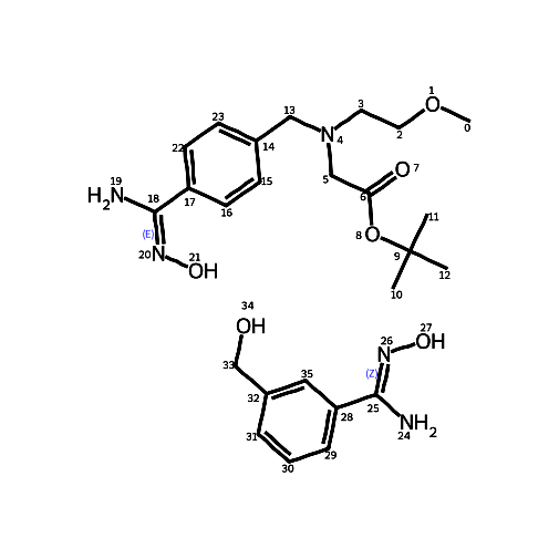 COCCN(CC(=O)OC(C)(C)C)Cc1ccc(/C(N)=N\O)cc1.N/C(=N\O)c1cccc(CO)c1